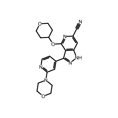 N#Cc1cc2[nH]nc(-c3ccnc(N4CCOCC4)c3)c2c(OC2CCOCC2)n1